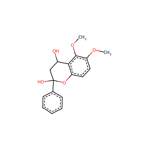 COc1ccc2c(c1OC)C(O)CC(O)(c1ccccc1)O2